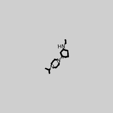 CCN[C@H]1CCC[C@H](N2CCN(C(C)C)CC2)C1